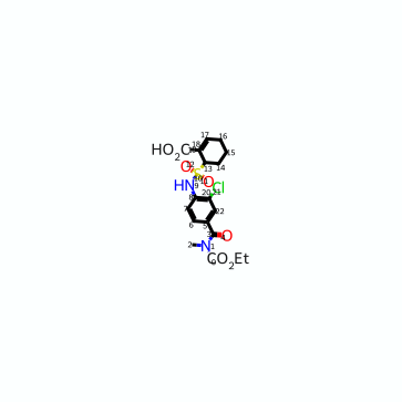 CCOC(=O)N(C)C(=O)c1ccc(NS(=O)(=O)C2CCCC=C2C(=O)O)c(Cl)c1